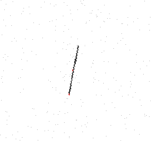 O=C(O)CCCCCCCCCCCCCCCCCC(=O)CCCCCCCCCCCCCCCCCO